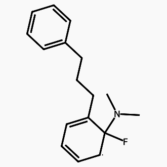 CN(C)C1(F)[CH]C=CC=C1CCCc1ccccc1